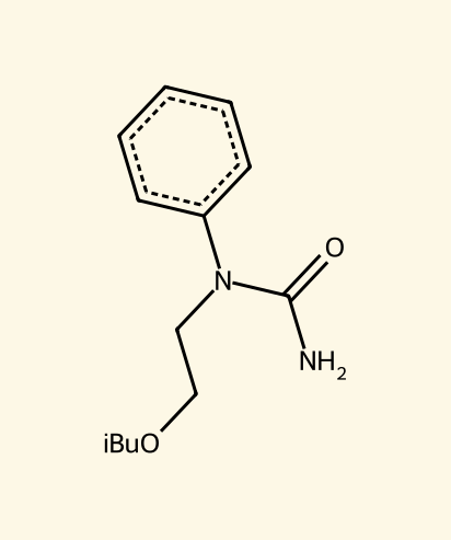 CC(C)COCCN(C(N)=O)c1ccccc1